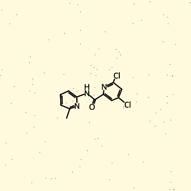 Cc1cccc(NC(=O)c2cc(Cl)cc(Cl)n2)n1